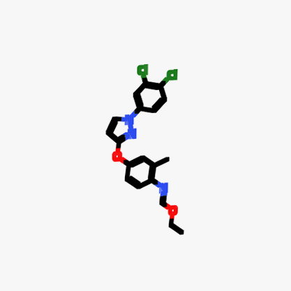 CCO/C=N/c1ccc(Oc2ccn(-c3ccc(Cl)c(Cl)c3)n2)cc1C